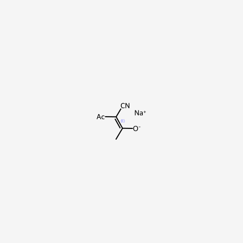 CC(=O)/C(C#N)=C(\C)[O-].[Na+]